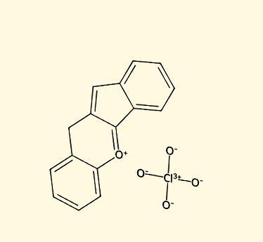 C1=C2Cc3ccccc3[O+]=C2c2ccccc21.[O-][Cl+3]([O-])([O-])[O-]